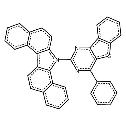 c1ccc(-c2nc(-n3c4ccc5ccccc5c4c4ccc5ccccc5c43)nc3c2sc2ccccc23)cc1